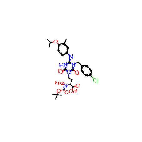 Cc1cc(/N=c2\[nH]c(=O)n(CC[C@@H](C(=O)O)N(O)C(=O)OC(C)(C)C)c(=O)n2Cc2ccc(Cl)cc2)ccc1OC(C)C